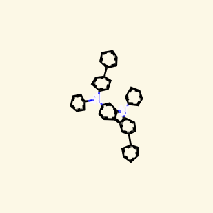 c1ccc(-c2ccc(N(c3ccccc3)c3ccc4c5cc(-c6ccccc6)ccc5n(-c5ccccc5)c4c3)cc2)cc1